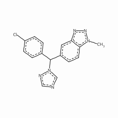 Cn1nnc2cc(C(c3ccc(Cl)cc3)n3cncn3)ccc21